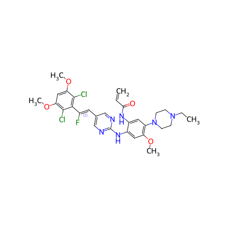 C=CC(=O)Nc1cc(N2CCN(CC)CC2)c(OC)cc1Nc1ncc(/C=C(\F)c2c(Cl)c(OC)cc(OC)c2Cl)cn1